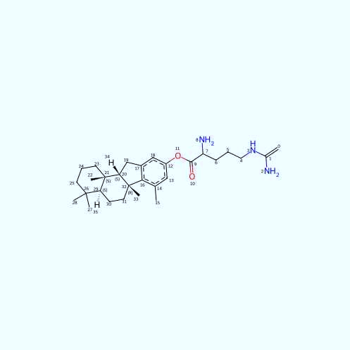 C=C(N)NCCCC(N)C(=O)Oc1cc(C)c2c(c1)C[C@H]1[C@@]3(C)CCCC(C)(C)[C@@H]3CC[C@@]21C